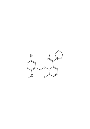 COc1ccc(Br)cc1CSc1c(F)cccc1C1=NCC2CCCN12